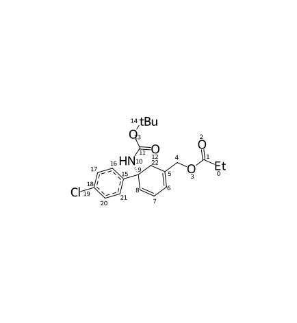 CCC(=O)OCC1=CC=C[C@@](NC(=O)OC(C)(C)C)(c2ccc(Cl)cc2)C1